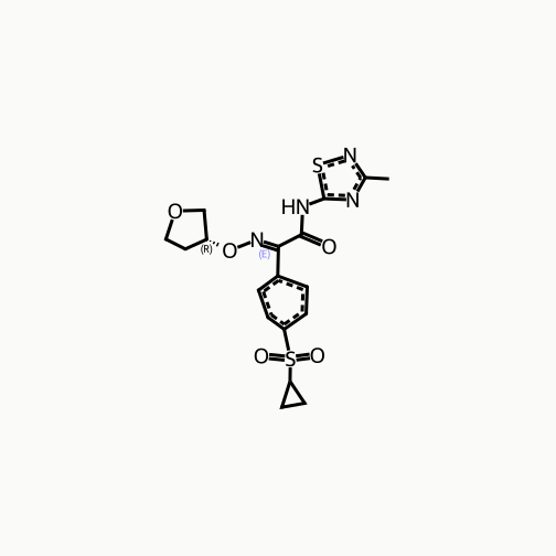 Cc1nsc(NC(=O)/C(=N/O[C@@H]2CCOC2)c2ccc(S(=O)(=O)C3CC3)cc2)n1